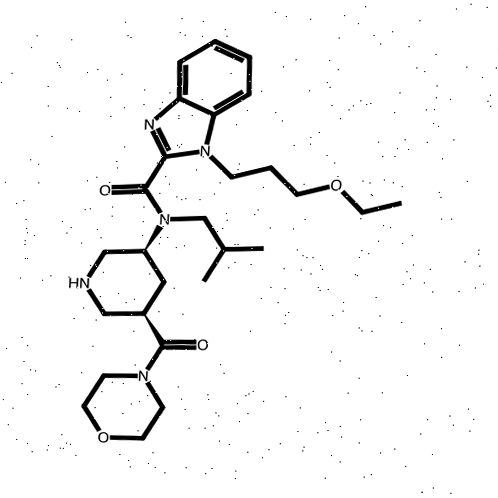 CCOCCCn1c(C(=O)N(CC(C)C)[C@@H]2CNC[C@H](C(=O)N3CCOCC3)C2)nc2ccccc21